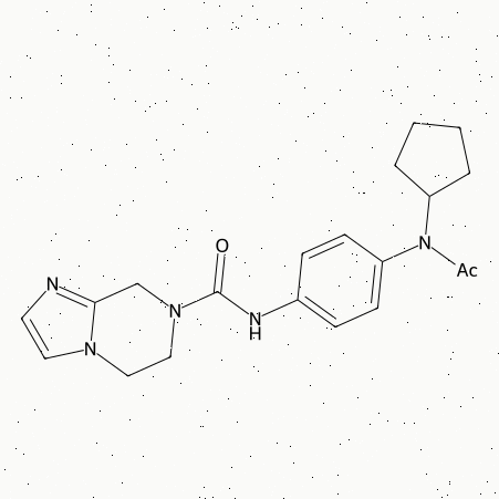 CC(=O)N(c1ccc(NC(=O)N2CCn3ccnc3C2)cc1)C1CCCC1